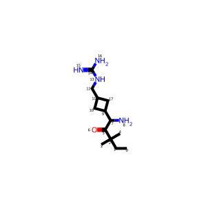 CCC(C)(C)C(=O)C(N)C1CC(CNC(=N)N)C1